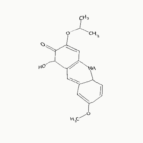 COC1=CC2=CC3=C(C=C(OC(C)C)C(=O)C3O)NC2C=C1